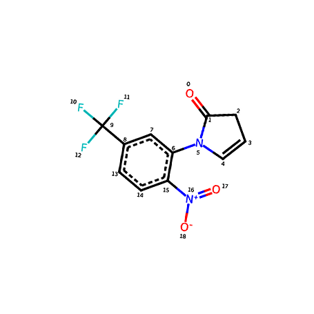 O=C1CC=CN1c1cc(C(F)(F)F)ccc1[N+](=O)[O-]